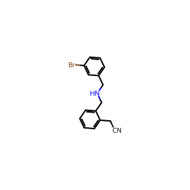 N#CCc1ccccc1CNCc1cccc(Br)c1